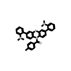 Cc1ccc(C(=O)N2c3ccc(-c4ccccc4N(C)C)cc3Sc3cc(-c4ccccc4N(C)C)ccc32)cc1